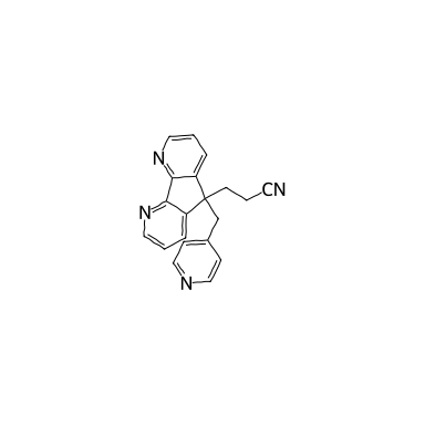 N#CCCC1(Cc2ccncc2)c2cccnc2-c2ncccc21